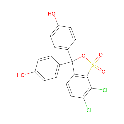 O=S1(=O)OC(c2ccc(O)cc2)(c2ccc(O)cc2)c2ccc(Cl)c(Cl)c21